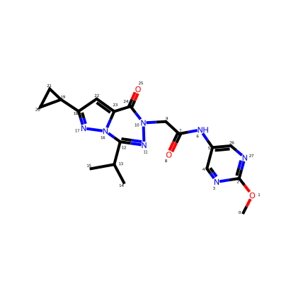 COc1ncc(NC(=O)Cn2nc(C(C)C)n3nc(C4CC4)cc3c2=O)cn1